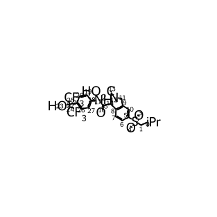 CC(C)CS(=O)(=O)c1ccc2c(c1)CN(C(=O)O)C2C(=O)Nc1ccc(C(O)(C(F)(F)F)C(F)(F)F)cc1